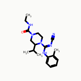 CCNC(=O)N1CCN(/C(=N\C#N)Nc2ccccc2C)C(C(C)C)C1